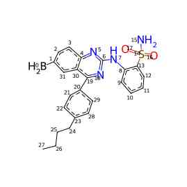 Bc1ccc2nc(Nc3ccccc3S(N)(=O)=O)nc(-c3ccc(CCCC)cc3)c2c1